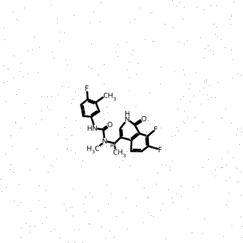 Cc1cc(NC(=O)N(C)[C@H](C)c2c[nH]c(=O)c3c(F)c(F)ccc23)ccc1F